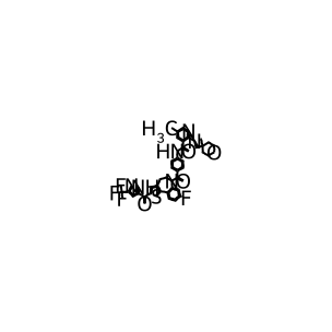 Cc1cnc(N2CC3(CCOCC3)C2)c(C(=O)Nc2ccc(C(=O)N3CCc4cc(C(=O)c5cc(C(F)(F)F)n[nH]5)sc4-c4ccc(F)cc43)cc2)c1